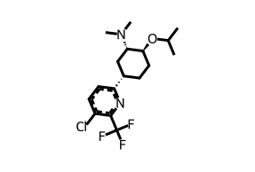 CC(C)O[C@H]1CC[C@H](c2ccc(Cl)c(C(F)(F)F)n2)C[C@@H]1N(C)C